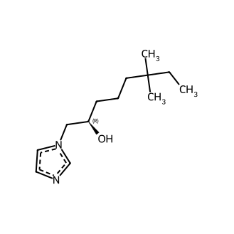 CCC(C)(C)CCC[C@@H](O)Cn1ccnc1